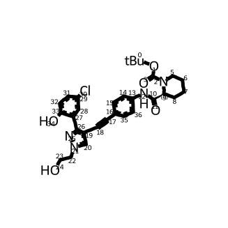 CC(C)(C)OC(=O)N1CCCC[C@H]1C(=O)Nc1ccc(C#Cc2cn(CCO)nc2-c2cc(Cl)ccc2O)cc1